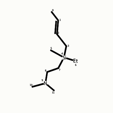 CC=CC[Si](C)(CC)CCN(C)C